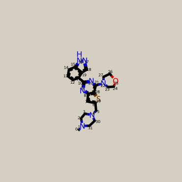 CN1CCN(Cc2cc3nc(-c4cccc5[nH]ncc45)nc(N4CCOCC4)c3s2)CC1